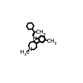 C/C(=C\n1c2c(c3cc(C)ccc31)CCN(C)CC2)C1CCCCC1